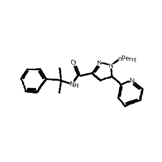 CCCCCN1N=C(C(=O)NC(C)(C)c2ccccc2)CC1c1ccccn1